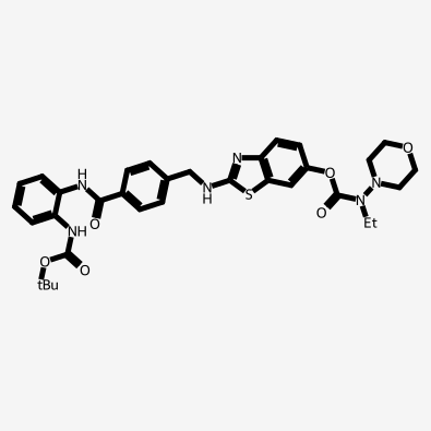 CCN(C(=O)Oc1ccc2nc(NCc3ccc(C(=O)Nc4ccccc4NC(=O)OC(C)(C)C)cc3)sc2c1)N1CCOCC1